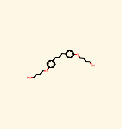 OCCCCOc1ccc(CCCc2ccc(OCCCCO)cc2)cc1